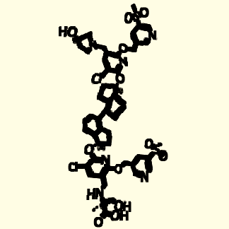 C[C@@](CO)(NCc1cc(Cl)c(O[C@H]2CCc3c(-c4cccc5c4CC[C@@H]5Oc4nc(OCc5cncc(S(C)(=O)=O)c5)c(CN5CC[C@@H](O)C5)cc4Cl)cccc32)nc1OCc1cncc(S(C)(=O)=O)c1)C(=O)O